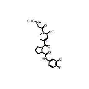 C/C(=C\C(C(C)C)N(C)C(=O)CNC=O)C(=O)N1CCCC1C(=O)Nc1ccc(F)c(Cl)c1